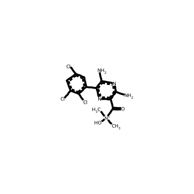 C[N+](C)(O)C(=O)c1nc(-c2cc(Cl)cc(Cl)c2Cl)c(N)nc1N